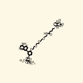 CC1(C)OB(c2ccc(OCCOCCOCCOCCNC(=O)CCCC[C@@H]3SC[C@@H]4NC(=O)N[C@@H]43)c(-c3ccc4c(N)cnnc4c3)c2)OC1(C)C